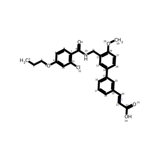 CCCOc1ccc(C(=O)NCc2cc(-c3cccc(/C=C/C(=O)O)c3)ccc2OC)c(Cl)c1